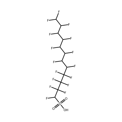 O=S(=O)(O)C(F)C(F)(F)C(F)(F)C(F)(F)C(F)C(F)C(F)C(F)C(F)C(F)C(F)C(F)F